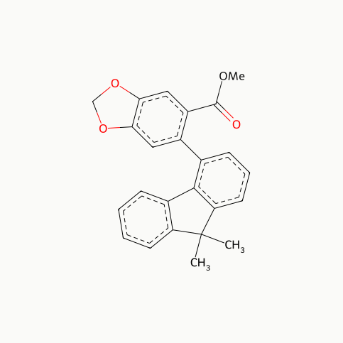 COC(=O)c1cc2c(cc1-c1cccc3c1-c1ccccc1C3(C)C)OCO2